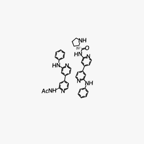 CC(=O)Nc1cc(-c2ccnc(Nc3ccccc3)c2)ccn1.O=C(Nc1cc(-c2ccnc(Nc3ccccc3)c2)ccn1)[C@@H]1CCCN1